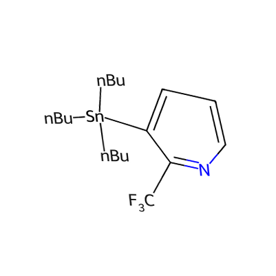 CCC[CH2][Sn]([CH2]CCC)([CH2]CCC)[c]1cccnc1C(F)(F)F